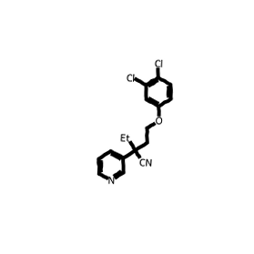 CCC(C#N)(CCOc1ccc(Cl)c(Cl)c1)c1cccnc1